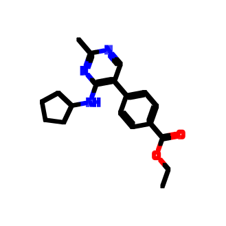 CCOC(=O)c1ccc(-c2cnc(C)nc2NC2CCCC2)cc1